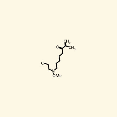 C=C(C)C(=O)CCCCCN(CCCl)OC